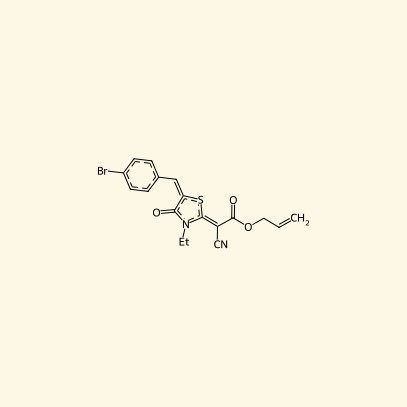 C=CCOC(=O)/C(C#N)=c1\sc(=Cc2ccc(Br)cc2)c(=O)n1CC